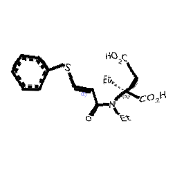 CCN(C(=O)/C=C/Sc1ccccc1)[C@@](CC)(CC(=O)O)C(=O)O